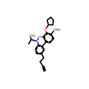 C#CCCc1ccc(N(C=O)C(C)C=O)c(-c2ccc(OC)c(OC3CCCC3)c2)c1